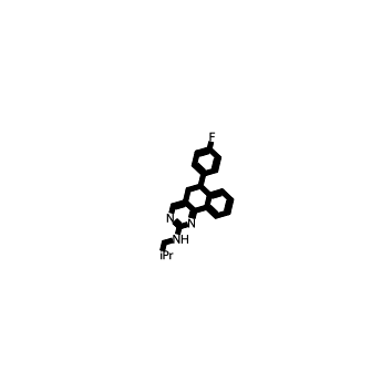 CC(C)CNc1ncc2c(n1)-c1ccccc1C(c1ccc(F)cc1)C2